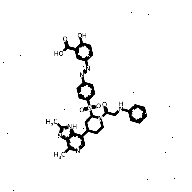 Cc1nc2c(C)ncc(C3CCN(C(=O)CNc4ccccc4)C(S(=O)(=O)c4ccc(N=Nc5ccc(O)c(C(=O)O)c5)cc4)C3)c2[nH]1